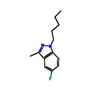 CCCCCn1nc(C)c2cc(F)ccc21